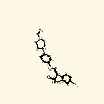 O=CN1CCN(c2ccc(NC=C3C(=O)Nc4cc(F)ccc43)cc2)CC1